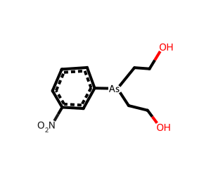 O=[N+]([O-])c1cccc([As](CCO)CCO)c1